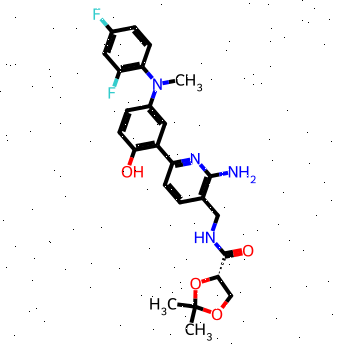 CN(c1ccc(O)c(-c2ccc(CNC(=O)[C@@H]3COC(C)(C)O3)c(N)n2)c1)c1ccc(F)cc1F